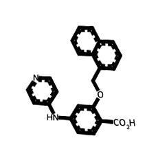 O=C(O)c1ccc(Nc2ccncc2)cc1OCc1cccc2ccccc12